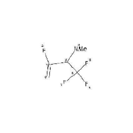 C=C(F)C(NC)C(F)(F)F